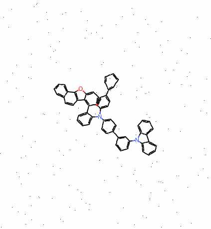 c1ccc(-c2ccc(N(c3ccc(-c4cccc(-n5c6ccccc6c6ccccc65)c4)cc3)c3ccccc3-c3cccc4oc5c6ccccc6ccc5c34)cc2)cc1